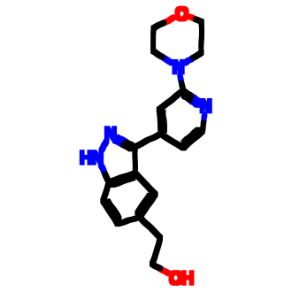 OCCc1ccc2[nH]nc(-c3ccnc(N4CCOCC4)c3)c2c1